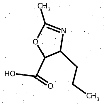 CCCC1N=C(C)OC1C(=O)O